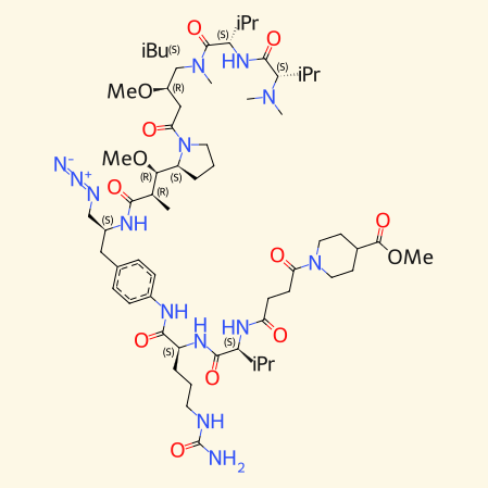 CC[C@H](C)C([C@@H](CC(=O)N1CCC[C@H]1[C@H](OC)[C@@H](C)C(=O)N[C@H](CN=[N+]=[N-])Cc1ccc(NC(=O)[C@H](CCCNC(N)=O)NC(=O)[C@@H](NC(=O)CCC(=O)N2CCC(C(=O)OC)CC2)C(C)C)cc1)OC)N(C)C(=O)[C@@H](NC(=O)[C@H](C(C)C)N(C)C)C(C)C